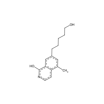 Cc1cc(CCCCCO)cc2c(O)nccc12